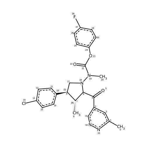 Cc1cc(C(=O)C2[C@H](C)[C@@H](c3ccc(Cl)cc3)CN2N(C)C(=O)Oc2ccc(F)cc2)cnn1